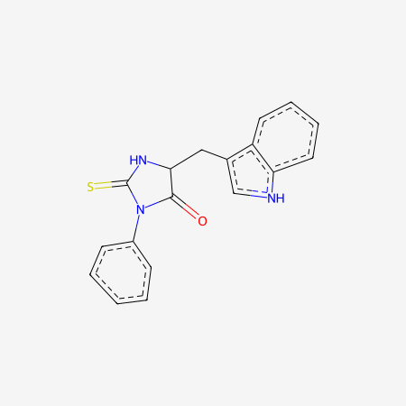 O=C1C(Cc2c[nH]c3ccccc23)NC(=S)N1c1ccccc1